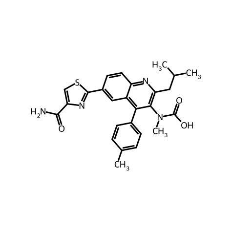 Cc1ccc(-c2c(N(C)C(=O)O)c(CC(C)C)nc3ccc(-c4nc(C(N)=O)cs4)cc23)cc1